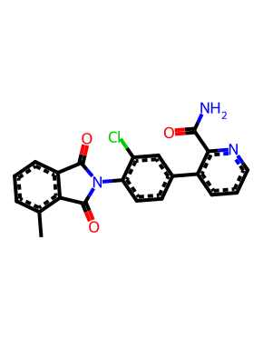 Cc1cccc2c1C(=O)N(c1ccc(-c3cccnc3C(N)=O)cc1Cl)C2=O